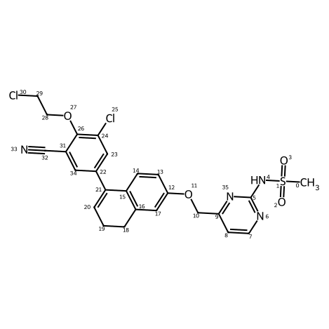 CS(=O)(=O)Nc1nccc(COc2ccc3c(c2)CCC=C3c2cc(Cl)c(OCCCl)c(C#N)c2)n1